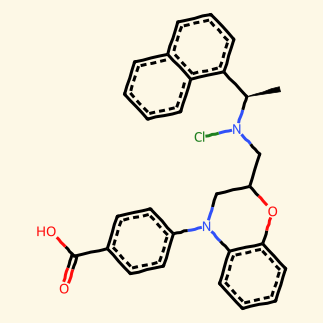 C[C@H](c1cccc2ccccc12)N(Cl)CC1CN(c2ccc(C(=O)O)cc2)c2ccccc2O1